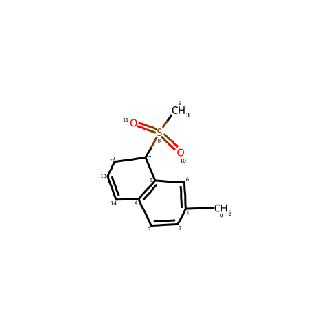 Cc1ccc2c(c1)C(S(C)(=O)=O)CC=C2